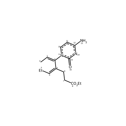 C/C=C(\C(=C/CC)CCC(=O)OCC)n1ccc(N)nc1=O